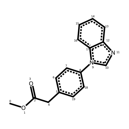 COC(=O)Cc1ccc(-n2cnc3ccccc32)cc1